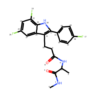 CNC(=O)C(C)NC(=O)CCc1c(-c2ccc(F)cc2)[nH]c2c(F)cc(F)cc12